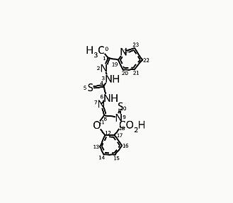 CC(=NNC(=S)NN=C(N=S)Oc1ccccc1C(=O)O)c1ccccn1